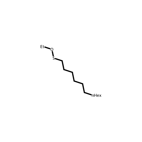 CCCCCCCCCCCCSOCC